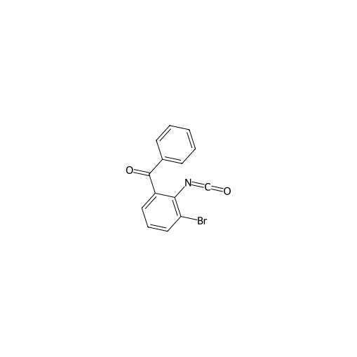 O=C=Nc1c(Br)cccc1C(=O)c1ccccc1